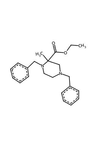 CCOC(=O)C1(C)CN(Cc2ccccc2)CCN1Cc1ccccc1